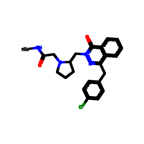 CCCCNC(=O)CN1CCCC1Cn1nc(Cc2ccc(Cl)cc2)c2ccccc2c1=O